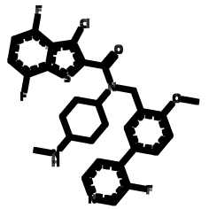 CNC1CCC(N(Cc2cc(-c3ccncc3F)ccc2OC)C(=O)c2sc3c(F)ccc(F)c3c2Cl)CC1